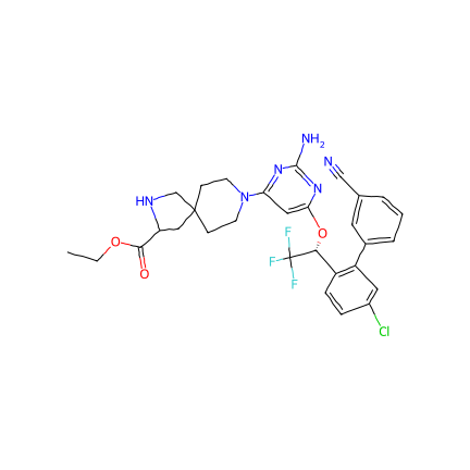 CCOC(=O)C1CC2(CCN(c3cc(O[C@H](c4ccc(Cl)cc4-c4cccc(C#N)c4)C(F)(F)F)nc(N)n3)CC2)CN1